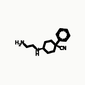 N#C[C@]1(c2ccccc2)CC[C@H](NCCN)CC1